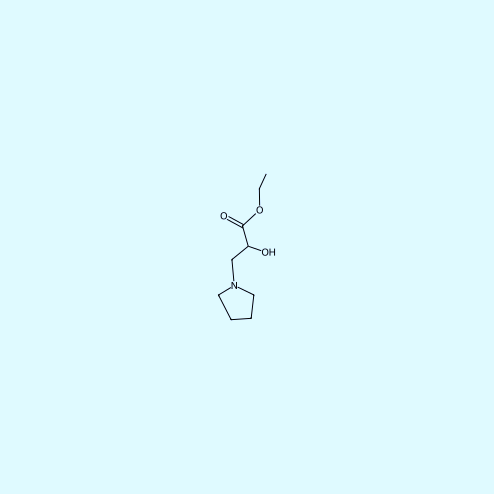 CCOC(=O)C(O)CN1CCCC1